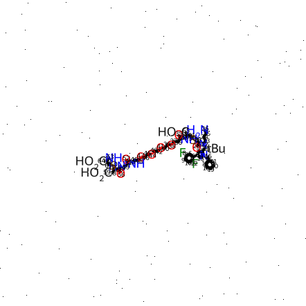 CC(C)(C)[C@H](c1cc(-c2cc(F)ccc2F)cn1Cc1ccccc1)N(CCCN)C(=O)CSCC(NC(=O)CCOCCOCCOCCOCCNC(=O)CNC(=O)C(CC(=O)O)SC[C@H](N)C(=O)O)C(=O)O